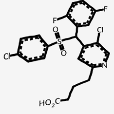 O=C(O)CCCc1cc(C(c2cc(F)ccc2F)S(=O)(=O)c2ccc(Cl)cc2)c(Cl)cn1